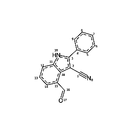 N#Cc1c(-c2ccccc2)[nH]c2cccc(C=O)c12